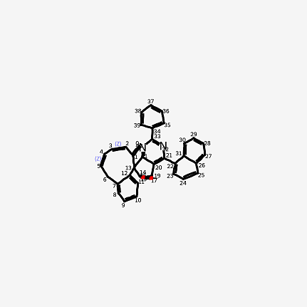 C=C1/C=C\C=C/Cc2ccccc2C12c1ccccc1-c1c(-c3cccc4ccccc34)nc(-c3ccccc3)nc12